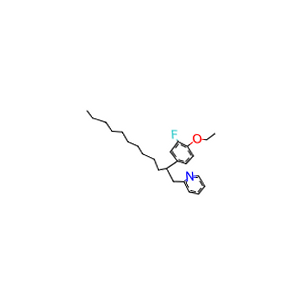 CCCCCCCCCCC(Cc1ccccn1)c1ccc(OCC)c(F)c1